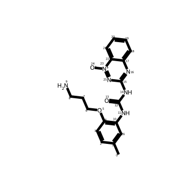 Cc1ccc(OCCCN)c(NC(=O)Nc2nc3ccccc3[n+]([O-])n2)c1